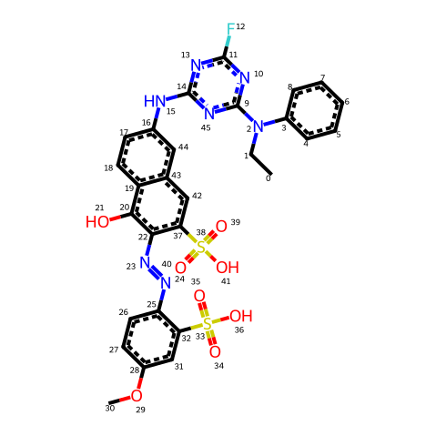 CCN(c1ccccc1)c1nc(F)nc(Nc2ccc3c(O)c(/N=N/c4ccc(OC)cc4S(=O)(=O)O)c(S(=O)(=O)O)cc3c2)n1